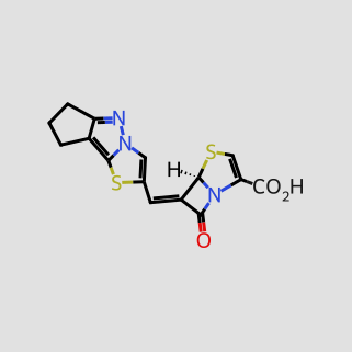 O=C(O)C1=CS[C@@H]2/C(=C\c3cn4nc5c(c4s3)CCC5)C(=O)N12